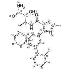 Cc1cc(C(=O)N[C@@H](Cc2ccccc2)C(O)C(N)=O)n(-c2cccc(-c3ccccc3C)c2)n1